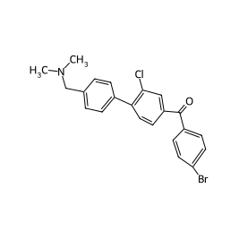 CN(C)Cc1ccc(-c2ccc(C(=O)c3ccc(Br)cc3)cc2Cl)cc1